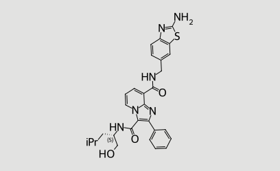 CC(C)C[C@@H](CO)NC(=O)c1c(-c2ccccc2)nc2c(C(=O)NCc3ccc4nc(N)sc4c3)cccn12